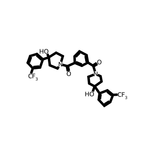 O=C(c1cccc(C(=O)N2CCC(O)(c3cccc(C(F)(F)F)c3)CC2)c1)N1CCC(O)(c2cccc(C(F)(F)F)c2)CC1